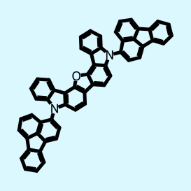 c1ccc2c(c1)-c1cccc3c(-n4c5ccccc5c5c6oc7c(ccc8c7c7ccccc7n8-c7ccc8c9c(cccc79)-c7ccccc7-8)c6ccc54)ccc-2c13